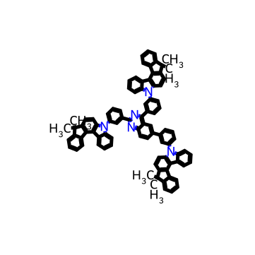 CC1(C)c2ccccc2-c2c1ccc1c2c2ccccc2n1-c1cccc(-c2ccc3nc(-c4cccc(-n5c6ccccc6c6c7c(ccc65)C(C)(C)c5ccccc5-7)c4)nc(-c4cccc(-n5c6ccccc6c6c7c(ccc65)C(C)(C)c5ccccc5-7)c4)c3c2)c1